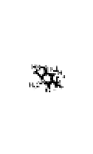 Cc1c2c(n(C)c(=O)c1C(F)(F)F)CNC2.Cl